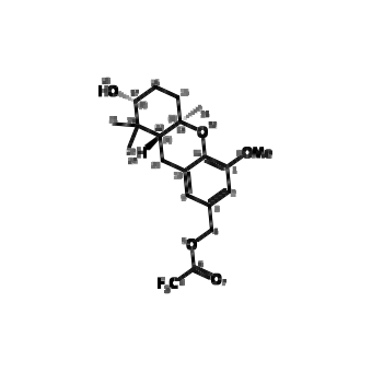 COc1cc(COC(=O)C(F)(F)F)cc2c1O[C@]1(C)CC[C@@H](O)C(C)(C)[C@H]1C2